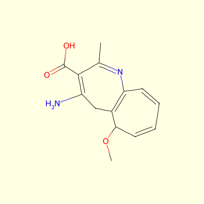 COC1C=CC=CC2=C1CC(N)=C(C(=O)O)C(C)=N2